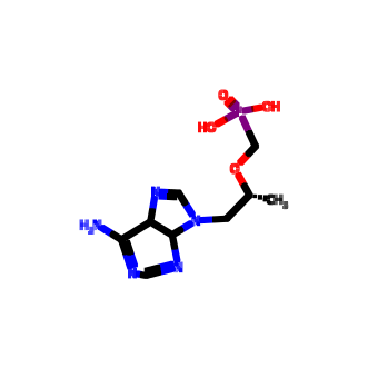 C[C@H](CN1C=NC2C(N)=NC=NC21)OCP(=O)(O)O